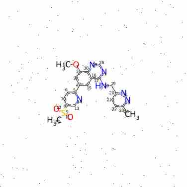 COc1cc(-c2ccc(S(C)(=O)=O)cn2)cc2c(NCc3ccc(C)nn3)ncnc12